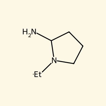 C[CH]N1CCCC1N